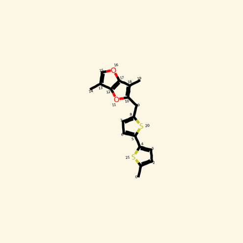 Cc1ccc(-c2ccc(Cc3oc4c(C)coc4c3C)s2)s1